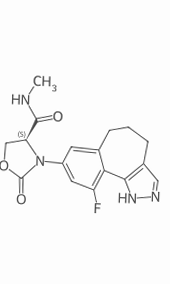 CNC(=O)[C@@H]1COC(=O)N1c1cc(F)c2c(c1)CCCc1cn[nH]c1-2